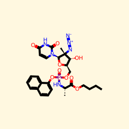 CCCCOC(=O)[C@H](C)NP(=O)(OC[C@H]1O[C@@H](n2ccc(=O)[nH]c2=O)[C@](C)(N=[N+]=[N-])[C@@H]1O)Oc1cccc2ccccc12